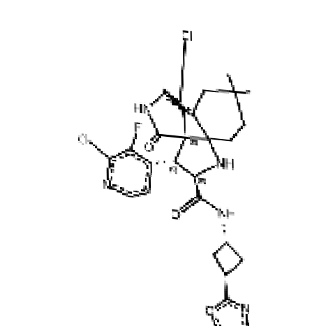 CC1(C)CCC2(CC1)N[C@@H](C(=O)N[C@H]1C[C@H](c3nnco3)C1)[C@H](c1ccnc(Cl)c1F)[C@]21C(=O)Nc2cc(Cl)ccc21